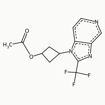 CC(=O)OC1CC(n2c(C(F)(F)F)nc3cnccc32)C1